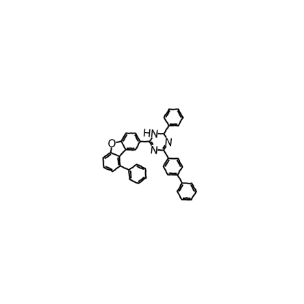 c1ccc(-c2ccc(C3=NC(c4ccccc4)NC(c4ccc5oc6cccc(-c7ccccc7)c6c5c4)=N3)cc2)cc1